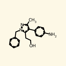 Cc1nn(Cc2ccccc2)c(CCO)c1-c1ccc(N)cc1